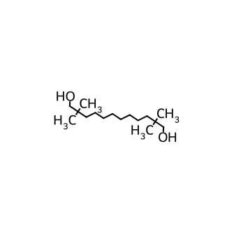 CC(C)(CO)CCCCCCCCC(C)(C)CO